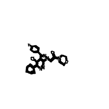 O=C(Cn1nc(-c2ccc(F)cc2)c2c(Cl)c(-c3ccccc3)nnc21)N1CCOCC1